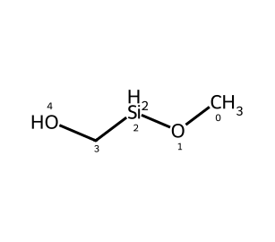 CO[SiH2]CO